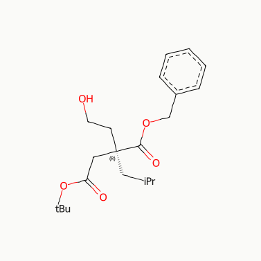 CC(C)C[C@@](CCO)(CC(=O)OC(C)(C)C)C(=O)OCc1ccccc1